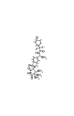 BC(NC(=O)C(F)(F)c1ccc(Cl)cc1)c1ccc2c(c1)CN(C1C(=O)NC(=O)C(B)(B)C1B)C2=O